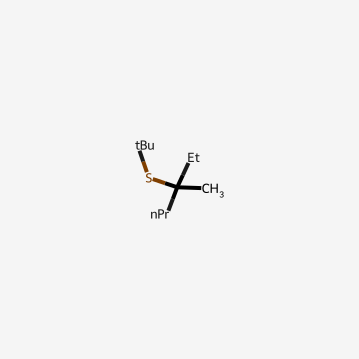 CCCC(C)(CC)SC(C)(C)C